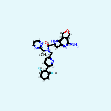 C[C@H](c1ncccn1)N(Cc1ccc(-c2c(F)cccc2F)cn1)C(=O)c1cc2nc(N)c3c(c2[nH]1)COC3